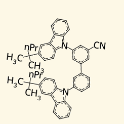 CCCC(C)(C)c1ccc2c(c1)c1ccccc1n2-c1cccc(-c2cc(C#N)cc(-n3c4ccccc4c4cc(C(C)(C)CCC)ccc43)c2)c1